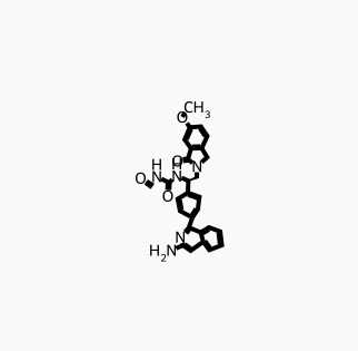 COc1ccc2c(c1)C(=O)N(C[C@H](NC(=O)NC=O)c1ccc(-c3nc(N)cc4ccccc34)cc1)C2